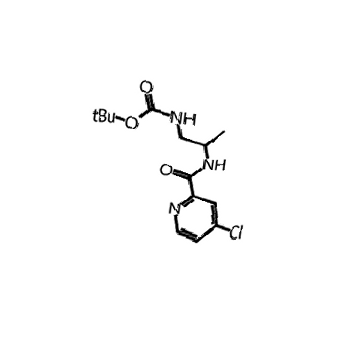 CC(CNC(=O)OC(C)(C)C)NC(=O)c1cc(Cl)ccn1